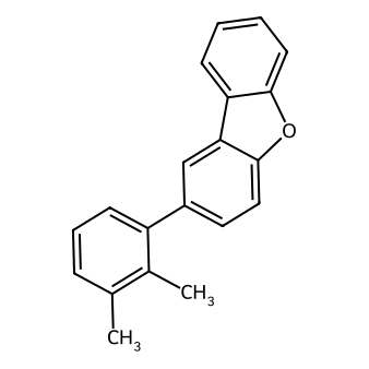 Cc1cccc(-c2ccc3oc4ccccc4c3c2)c1C